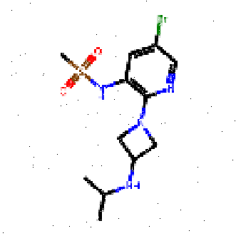 CC(C)NC1CN(c2ncc(Br)cc2NS(C)(=O)=O)C1